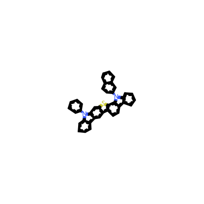 c1ccc(-n2c3ccccc3c3cc4c(cc32)sc2c4ccc3c4ccccc4n(-c4ccc5ccccc5c4)c32)cc1